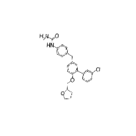 NC(=O)Nc1ccc(Cc2ccc(OCC3CCCO3)c(-c3cccc(Cl)c3)c2)cc1